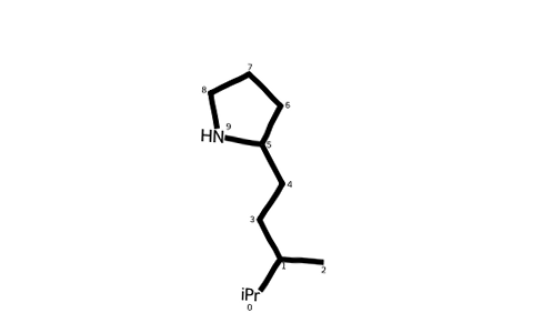 CC(C)C(C)CCC1CCCN1